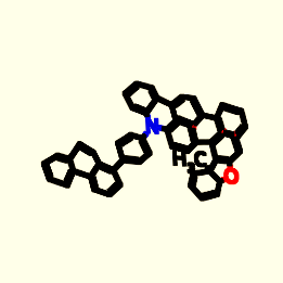 CC12C=CC=CC1Oc1cccc(-c3ccc(N(c4ccc(-c5cccc6c5ccc5ccccc56)cc4)c4ccccc4-c4ccc(-c5ccccc5)cc4)cc3)c12